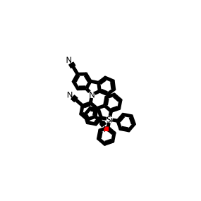 N#Cc1ccc2c(c1)c1ccccc1n2-c1c(C#N)ccc(C#N)c1-c1ccccc1[Si](c1ccccc1)(c1ccccc1)c1ccccc1